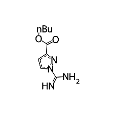 CCCCOC(=O)c1ccn(C(=N)N)n1